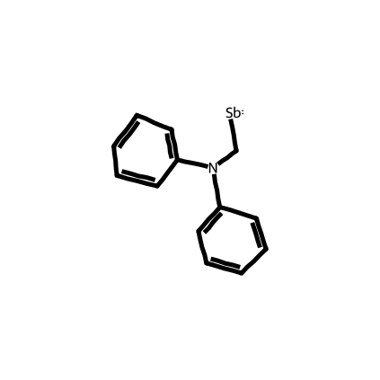 [Sb][CH2]N(c1ccccc1)c1ccccc1